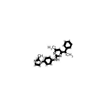 Cc1cc(C(C)c2ccccc2)nc(Nc2ccc(-n3ccnc3C)cc2)n1